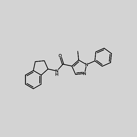 Cc1c(C(=O)NC2CCc3ccccc32)cnn1-c1ccccc1